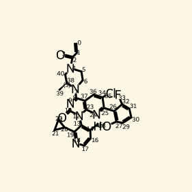 C=CC(=O)N1CCN(c2nc(=O)n(-c3c(C)ccnc3C3CC3)c3nc(-c4c(O)cccc4F)c(Cl)cc23)[C@@H](C)C1